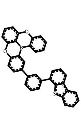 c1cc(-c2ccc3c(c2)B2c4ccccc4Oc4cccc(c42)O3)cc(-c2cccc3c2sc2ccccc23)c1